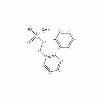 COP(=O)(O)SCc1ccccc1.c1ccccc1